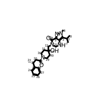 CC(C)c1c2c(nn1C)C(=O)N(CC1(O)CCN(C(=O)C[C@@H](C)c3ccccc3)CC1)CN2